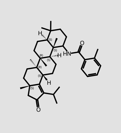 Cc1ccccc1C(=O)NC1CCC(C)(C)[C@@H]2CC[C@]3(C)[C@H](CC[C@@H]4C5=C(C(C)C)C(=O)C[C@]5(C)CC[C@]43C)[C@@]12C